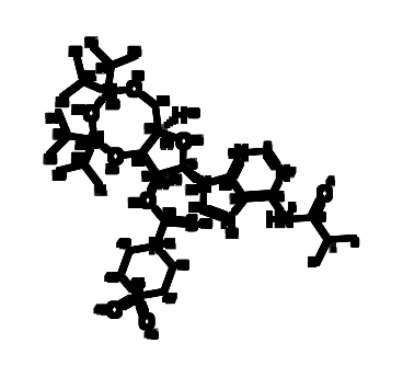 CC(C)C(=O)Nc1ncnc2c1ncn2[C@@H]1O[C@@H]2CO[Si](C(C)C)(C(C)C)O[Si](C(C)C)(C(C)C)OC2[C@@H]1OC(=S)N1CCS(=O)(=O)CC1